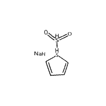 O=[SH](=O)[SH]1C=CC=C1.[NaH]